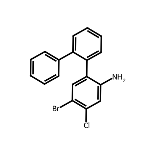 Nc1cc(Cl)c(Br)cc1-c1ccccc1-c1ccccc1